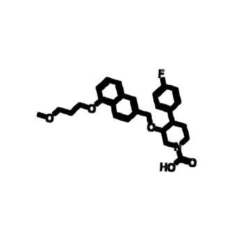 COCCCOc1cccc2cc(COC3CN(C(=O)O)CCC3c3ccc(F)cc3)ccc12